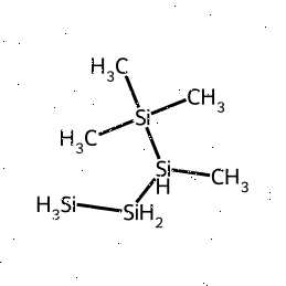 C[SiH]([SiH2][SiH3])[Si](C)(C)C